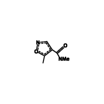 CNC(=O)c1cnoc1C